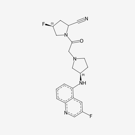 N#CC1C[C@H](F)CN1C(=O)CN1CC[C@@H](Nc2cccc3ncc(F)cc23)C1